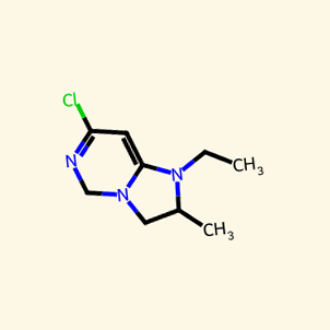 CCN1C2=CC(Cl)=NCN2CC1C